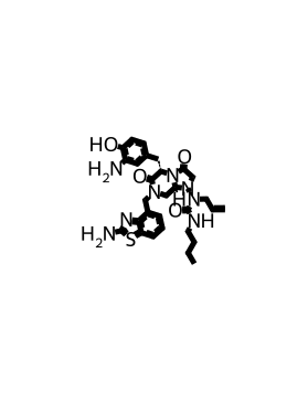 C=CCN(C(=O)NCCCC)N1CC(=O)N2[C@@H](Cc3ccc(O)c(N)c3)C(=O)N(Cc3cccc4sc(N)nc34)C[C@@H]21